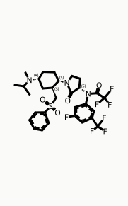 CC(C)N(C)[C@@H]1CC[C@H](N2CC[C@H](N(C(=O)C(F)(F)F)c3cc(F)cc(C(F)(F)F)c3)C2=O)[C@@H](CS(=O)(=O)c2ccccc2)C1